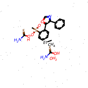 C.CCC.CS(=O)(=O)c1ccccc1-c1ocnc1-c1ccccc1.NC(O)=S.NC(O)=S.O